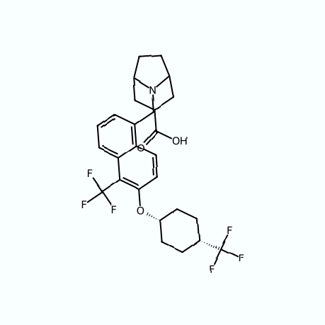 O=C(O)C1CC2CCC(C1)N2Cc1cccc2c(C(F)(F)F)c(O[C@H]3CC[C@@H](C(F)(F)F)CC3)ccc12